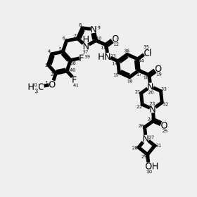 COc1ccc(Cc2cnc(C(=O)Nc3ccc(C(=O)N4CCN(C(=O)CN5CC(O)C5)CC4)c(Cl)c3)[nH]2)c(F)c1F